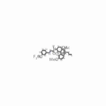 C=CCN1CC[C@]23c4c5ccc(OC)c4OC2C(N(C)C(=O)/C=C/c2cccc(OC(F)(F)F)c2)CC[C@@]3(OC(C)=O)[C@H]1C5